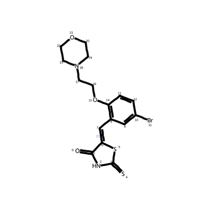 O=C1NC(=S)S/C1=C\c1cc(Br)ccc1OCCN1CCOCC1